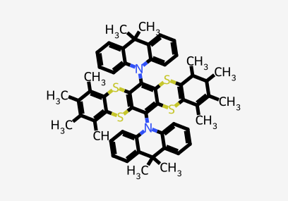 CC1=C(C)C(C)C(C)c2sc3c(N4c5ccccc5C(C)(C)c5ccccc54)c4sc5c(C)c(C)c(C)c(C)c5sc4c(N4c5ccccc5C(C)(C)c5ccccc54)c3sc21